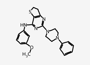 COc1cccc(Nc2nc(N3CCN(c4ccccc4)CC3)nc3c2SCC3)c1